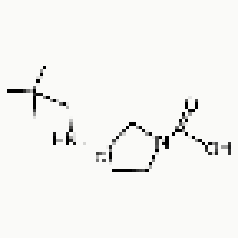 CC(C)(C)CN[C@H]1CCN(C(=O)O)C1